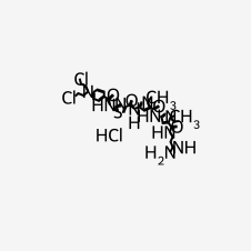 Cl.Cn1cc(NC(=O)c2cc(NC(=O)c3csc(NC(=O)c4ccc(N(CCCl)CCCl)cc4)n3)cn2C)cc1C(=O)NCCC(=N)N